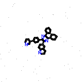 c1ccc(-c2nc(-c3ccc(-c4cccnc4)cc3)c(-c3ccc4ncccc4c3)nc2-c2ccccc2)cc1